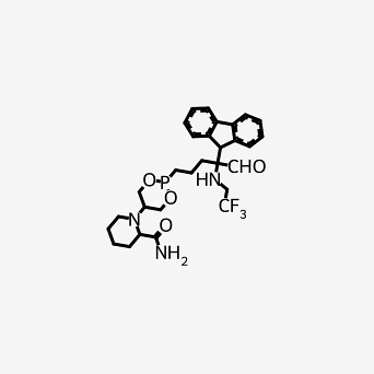 NC(=O)C1CCCCN1C1COP(CCCC(C=O)(NCC(F)(F)F)C2c3ccccc3-c3ccccc32)OC1